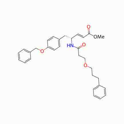 COC(=O)C=C[C@@H](Cc1ccc(OCc2ccccc2)cc1)NC(=O)CCOCCCc1ccccc1